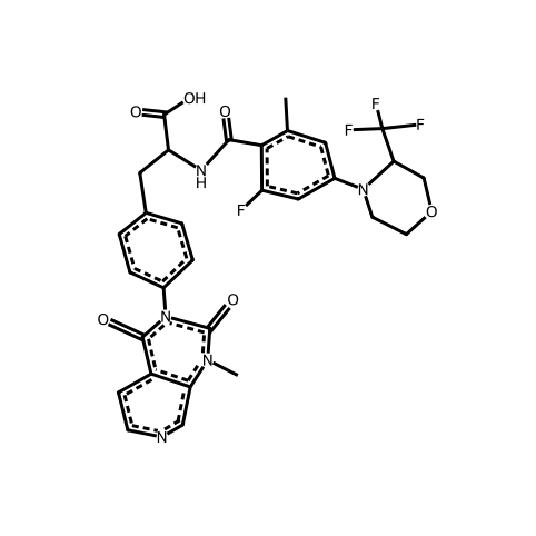 Cc1cc(N2CCOCC2C(F)(F)F)cc(F)c1C(=O)NC(Cc1ccc(-n2c(=O)c3ccncc3n(C)c2=O)cc1)C(=O)O